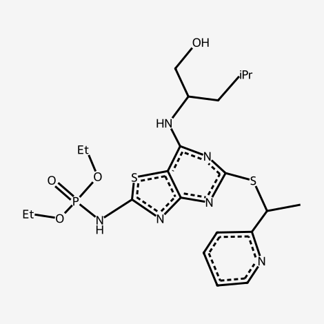 CCOP(=O)(Nc1nc2nc(SC(C)c3ccccn3)nc(NC(CO)CC(C)C)c2s1)OCC